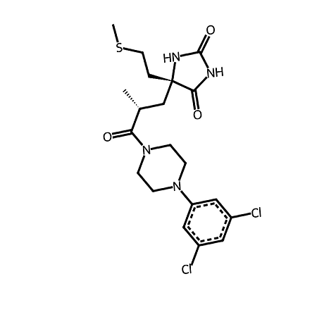 CSCC[C@@]1(C[C@@H](C)C(=O)N2CCN(c3cc(Cl)cc(Cl)c3)CC2)NC(=O)NC1=O